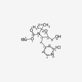 CC(C)(C)OC(=O)N1C(Cc2ccnc(Cl)c2)C(CO)OC1(C)C